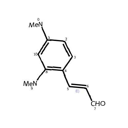 CNc1ccc(/C=C/C=O)c(NC)c1